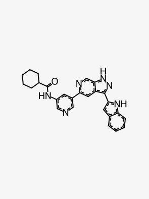 O=C(Nc1cncc(-c2cc3c(-c4cc5ccccc5[nH]4)n[nH]c3cn2)c1)C1CCCCC1